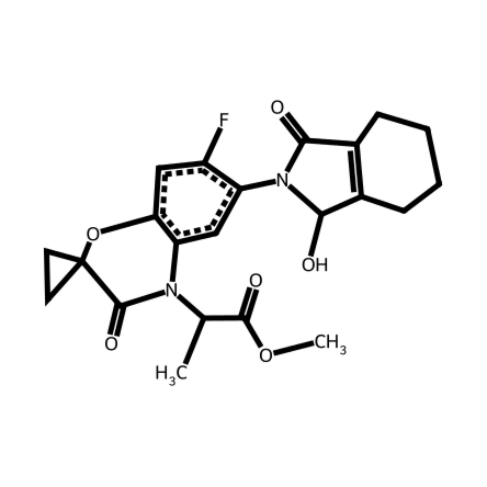 COC(=O)C(C)N1C(=O)C2(CC2)Oc2cc(F)c(N3C(=O)C4=C(CCCC4)C3O)cc21